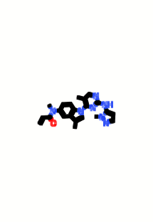 C=CC(=O)N(C)c1ccc2c(c1)c(C)cn2-c1nc(Nc2ccnn2C)ncc1C